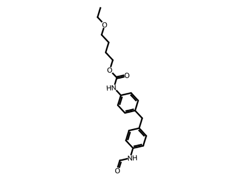 CCOCCCCOC(=O)Nc1ccc(Cc2ccc(NC=O)cc2)cc1